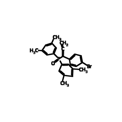 C=C=C(c1ccc(Br)cc1)P(=O)(c1cc(C)cc(C)c1)c1cc(C)cc(C)c1